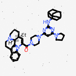 CC[C@@]12C=C(C(=O)N3CCN(c4cc(N5CCCC5)nc(NC56CC7CC(CC(C7)C5)C6)n4)CC3)n3c4c(c5ccccc53)CCN(CCC1)[C@H]42